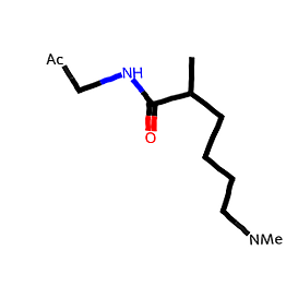 CNCCCCC(C)C(=O)NCC(C)=O